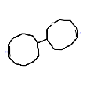 C1=C\CCCC(C2CCC/C=C\CCCC2)CCCC/1